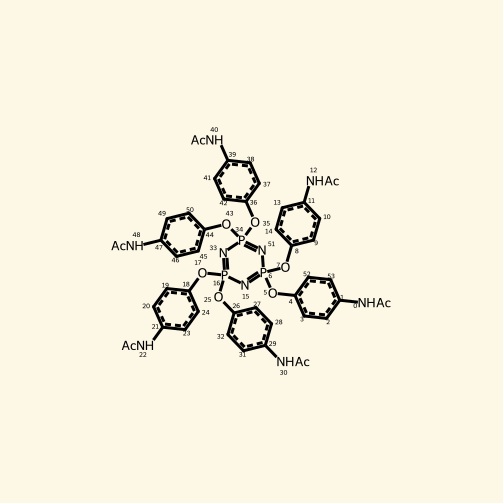 CC(=O)Nc1ccc(OP2(Oc3ccc(NC(C)=O)cc3)=NP(Oc3ccc(NC(C)=O)cc3)(Oc3ccc(NC(C)=O)cc3)=NP(Oc3ccc(NC(C)=O)cc3)(Oc3ccc(NC(C)=O)cc3)=N2)cc1